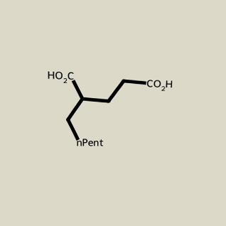 CCCCCCC(CCC(=O)O)C(=O)O